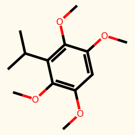 COc1cc(OC)c(OC)c(C(C)C)c1OC